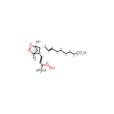 CCCCCC(C=C[C@@H]1[C@@H](CC=CCCCCCC(=O)O)[C@H]2C[C@H]1OO2)OO